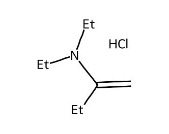 C=C(CC)N(CC)CC.Cl